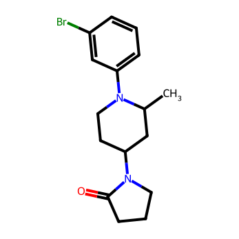 CC1CC(N2CCCC2=O)CCN1c1cccc(Br)c1